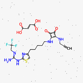 C#CCNc1c(NCCCCCc2csc(NC(N)=NCC(F)(F)F)n2)c(=O)c1=O.O=C(O)C=CC(=O)O